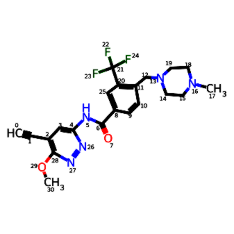 C#Cc1cc(NC(=O)c2ccc(CN3CCN(C)CC3)c(C(F)(F)F)c2)nnc1OC